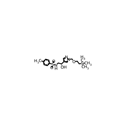 Cc1ccc(S(=O)(=O)NC[C@@H](O)c2cnn(COCC[Si](C)(C)C)c2)cc1